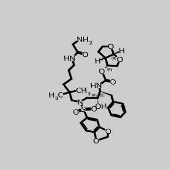 CC(C)(CCCCNC(=O)CN)CN(C[C@@H](O)[C@H](Cc1ccccc1)NC(=O)O[C@H]1CO[C@H]2OCC[C@H]21)S(=O)(=O)c1ccc2c(c1)OCO2